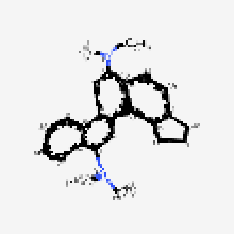 CN(C)c1cc2c(cc(N(C)C)c3ccc4c(c32)CCC4)c2ccccc12